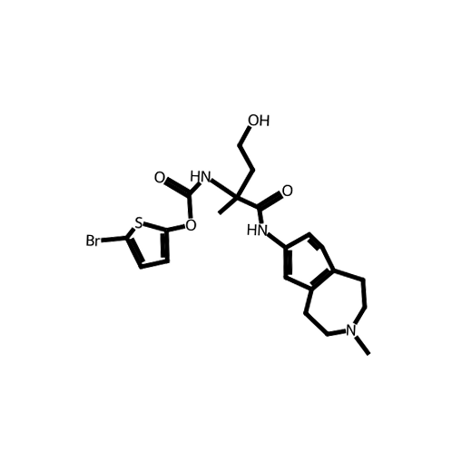 CN1CCc2ccc(NC(=O)C(C)(CCO)NC(=O)Oc3ccc(Br)s3)cc2CC1